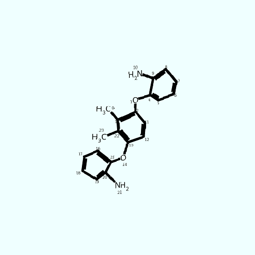 Cc1c(Oc2ccccc2N)ccc(Oc2ccccc2N)c1C